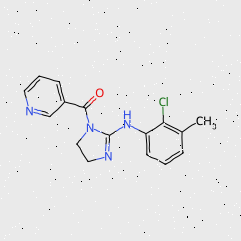 Cc1cccc(NC2=NCCN2C(=O)c2cccnc2)c1Cl